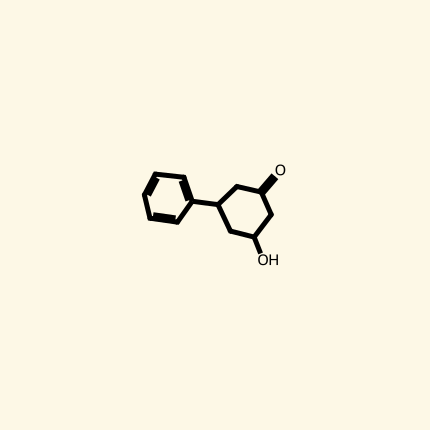 O=C1CC(O)CC(c2ccccc2)C1